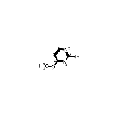 COc1ccnc(I)n1